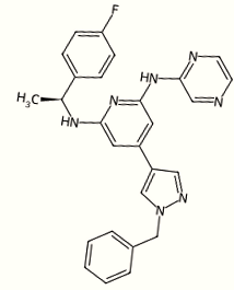 C[C@H](Nc1cc(-c2cnn(Cc3ccccc3)c2)cc(Nc2cnccn2)n1)c1ccc(F)cc1